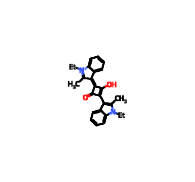 CCn1c(C)c(C2=C(O)/C(=C3/C(C)=[N+](CC)c4ccccc43)C2=O)c2ccccc21